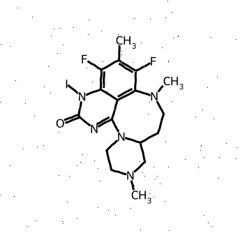 Cc1c(F)c2c3c(nc(=O)n(I)c3c1F)N1CCN(C)CC1CCN2C